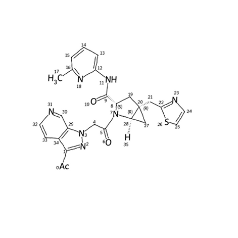 CC(=O)c1nn(CC(=O)N2[C@H](C(=O)Nc3cccc(C)n3)C[C@@]3(Cc4nccs4)C[C@@H]23)c2cnccc12